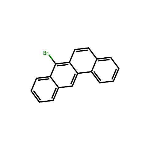 Brc1c2ccccc2cc2c1ccc1ccccc12